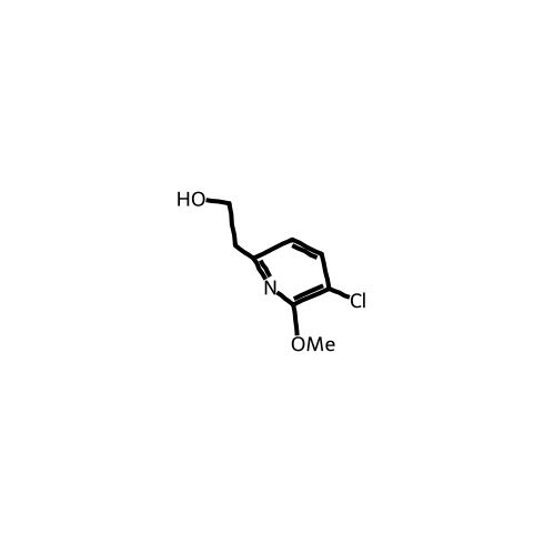 COc1nc(CCO)ccc1Cl